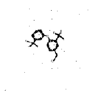 FC(F)(F)c1cccc(Oc2ccc(CCl)cc2C(F)(F)F)c1